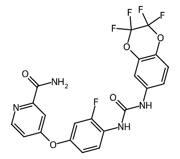 NC(=O)c1cc(Oc2ccc(NC(=O)Nc3ccc4c(c3)OC(F)(F)C(F)(F)O4)c(F)c2)ccn1